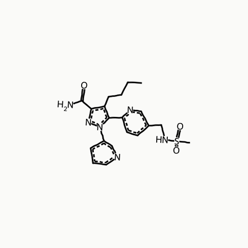 CCCCc1c(C(N)=O)nn(-c2cccnc2)c1-c1ccc(CNS(C)(=O)=O)cn1